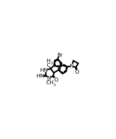 CN1C(=N)N[C@](C)(c2cc(Br)cs2)C(c2ccc(N3CCC3=O)cc2)C1=O